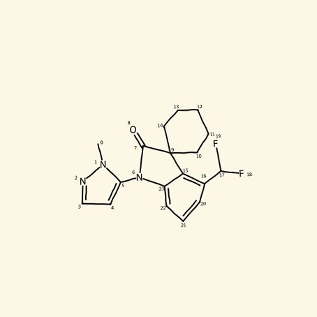 Cn1nccc1N1C(=O)C2(CCCCC2)c2c(C(F)F)cccc21